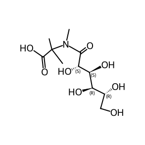 CN(C(=O)[C@@H](O)[C@@H](O)[C@H](O)[C@H](O)CO)C(C)(C)C(=O)O